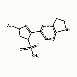 CC(=O)N1CC(S(C)(=O)=O)C(c2ccc3c(c2)CCN3)=N1